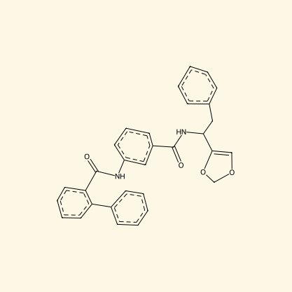 O=C(NC(Cc1ccccc1)C1=COCO1)c1cccc(NC(=O)c2ccccc2-c2ccccc2)c1